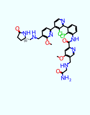 COc1cc(C(=O)Nc2cccc(-c3nccc(-c4ccc(CNC[C@@H]5CCC(=O)N5)c(OC)n4)c3Cl)c2Cl)ncc1CNCC(N)=O